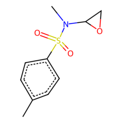 Cc1ccc(S(=O)(=O)N(C)C2CO2)cc1